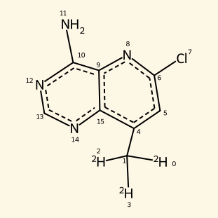 [2H]C([2H])([2H])c1cc(Cl)nc2c(N)ncnc12